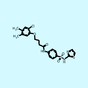 Cc1cc(Cl)c(OCCCC(=O)Nc2ccc(S(=O)(=O)Nc3nccs3)cc2)cc1C